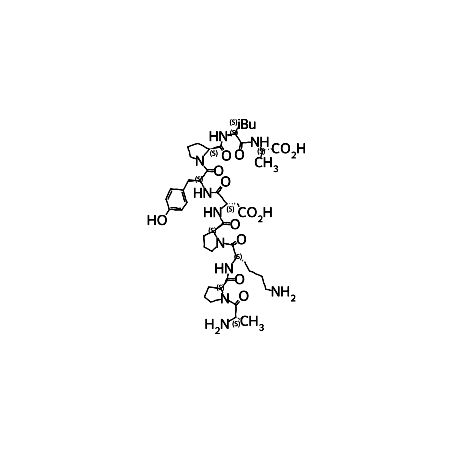 CC[C@H](C)[C@H](NC(=O)[C@@H]1CCCN1C(=O)[C@H](Cc1ccc(O)cc1)NC(=O)[C@H](CC(=O)O)NC(=O)[C@@H]1CCCN1C(=O)[C@H](CCCCN)NC(=O)[C@@H]1CCCN1C(=O)[C@H](C)N)C(=O)N[C@@H](C)C(=O)O